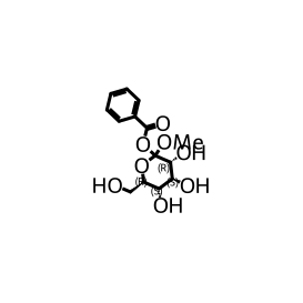 COC1(OC(=O)c2ccccc2)O[C@H](CO)[C@@H](O)[C@H](O)[C@H]1O